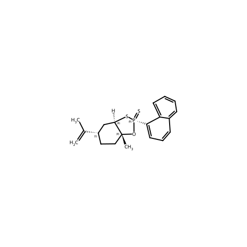 C=C(C)[C@H]1CC[C@@]2(C)O[P@@](=S)(c3cccc4ccccc34)S[C@@H]2C1